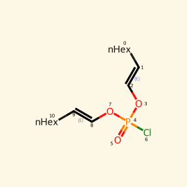 CCCCCC/C=C/OP(=O)(Cl)O/C=C/CCCCCC